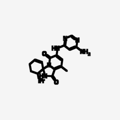 Cc1cc(Nc2cc(N)ncn2)c(=O)n2c1C(=O)NC21C=CCCC1C(C)C